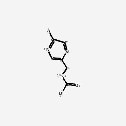 CCC(=O)NCc1cnc(Cl)cn1